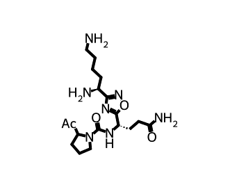 CC(=O)C1CCCN1C(=O)N[C@@H](CCC(N)=O)c1nc([C@@H](N)CCCCN)no1